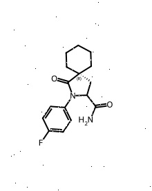 NC(=O)C1C[C@]2(C[CH]CCC2)C(=O)N1c1ccc(F)cc1